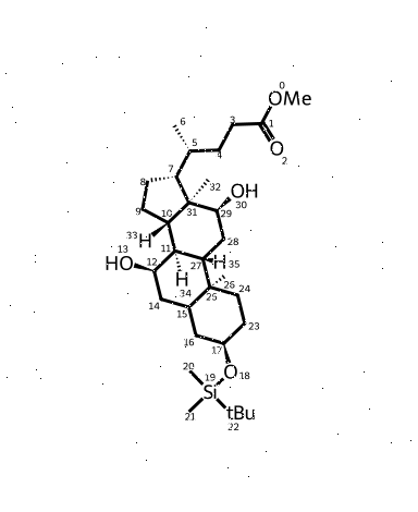 COC(=O)CC[C@@H](C)[C@H]1CC[C@H]2[C@@H]3[C@H](O)CC4C[C@H](O[Si](C)(C)C(C)(C)C)CC[C@]4(C)[C@H]3C[C@H](O)[C@]12C